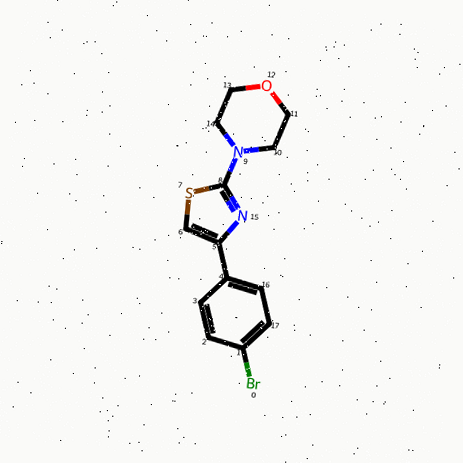 Brc1ccc(-c2csc(N3CCOCC3)n2)cc1